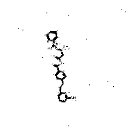 Nc1cccc(CCc2ccc(C(=O)OC(=O)C[C@@H](N)NS(=O)(=O)c3ccccc3)cc2)n1